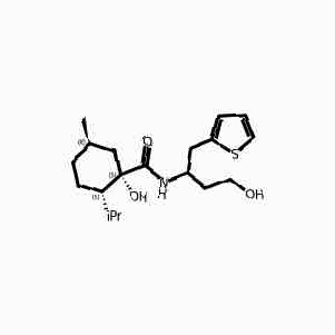 CC(C)[C@@H]1CC[C@@H](C)C[C@@]1(O)C(=O)NC(CCO)Cc1cccs1